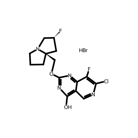 Br.Oc1nc(OC[C@@]23CCCN2C[C@H](F)C3)nc2c(F)c(Cl)ncc12